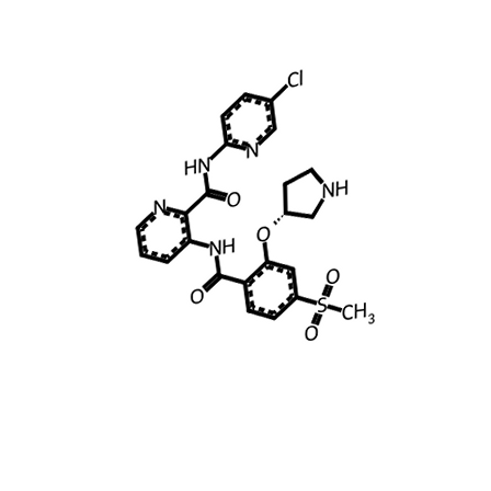 CS(=O)(=O)c1ccc(C(=O)Nc2cccnc2C(=O)Nc2ccc(Cl)cn2)c(O[C@@H]2CCNC2)c1